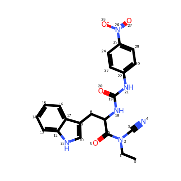 CCN(C#N)C(=O)C(Cc1c[nH]c2ccccc12)NC(=O)Nc1ccc([N+](=O)[O-])cc1